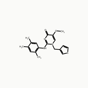 COc1cn(Cc2ccsc2)c(Nc2cc(C)c(C)cc2C)nc1=O